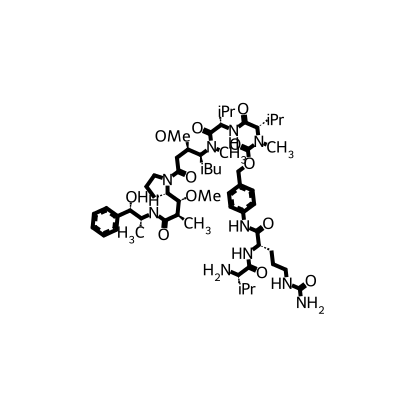 CCC(C)[C@@H]([C@@H](CC(=O)N1CCC[C@H]1[C@H](OC)[C@@H](C)C(=O)N[C@H](C)[C@@H](O)c1ccccc1)OC)N(C)C(=O)[C@@H](NC(=O)[C@H](C(C)C)N(C)C(=O)OCc1ccc(NC(=O)[C@H](CCCNC(N)=O)NC(=O)[C@@H](N)C(C)C)cc1)C(C)C